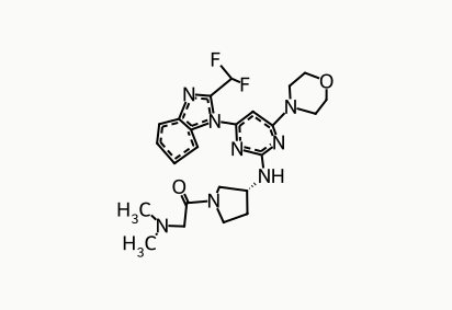 CN(C)CC(=O)N1CC[C@@H](Nc2nc(N3CCOCC3)cc(-n3c(C(F)F)nc4ccccc43)n2)C1